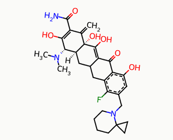 C=C1C(C(N)=O)=C(O)[C@@H](N(C)C)[C@@H]2CC3Cc4c(F)c(CN5CCCCC56CC6)cc(O)c4C(=O)C3=C(O)[C@]12O